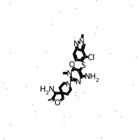 C[C@@H]1OCC2(CCN(c3nc(N)c(Sc4ccc5nn(C)cc5c4Cl)c(=O)n3C)CC2)[C@@H]1N